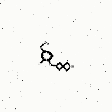 FC(F)(F)Oc1ccc(OC2CC3(CNC3)C2)c(Cl)c1